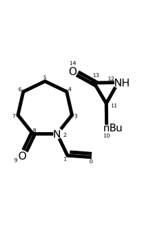 C=CN1CCCCCC1=O.CCCCC1NC1=O